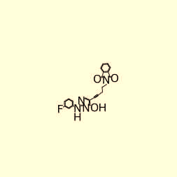 O=C1c2ccccc2C(=O)N1CCCC#Cc1cnc(Nc2cccc(F)c2)nc1O